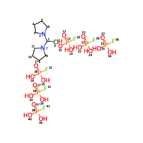 ClC(N1CCCC1)N1CCCC1.O=P(O)(O)F.O=P(O)(O)F.O=P(O)(O)F.O=P(O)(O)F.O=P(O)(O)F.O=P(O)(O)F